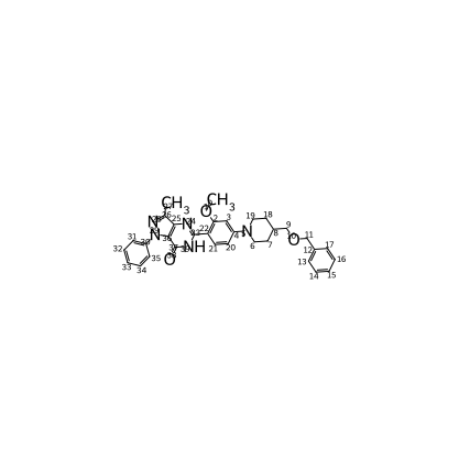 COc1cc(N2CCC(COCc3ccccc3)CC2)ccc1-c1nc2c(C)nn(-c3ccccc3)c2c(=O)[nH]1